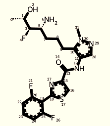 C[C@H](O)[C@H](F)[C@H](N)CCCc1c(NC(=O)c2csc(-c3c(F)cccc3F)n2)cnn1C